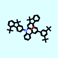 CC(C)(C)c1cc(-c2cccc(-c3ccccc3N(c3ccc4c(c3)C(C)(C)c3ccccc3-4)c3ccc4c(c3)C(C)(C)c3cccc(C(C)(C)C)c3-4)c2)cc(C(C)(C)C)c1